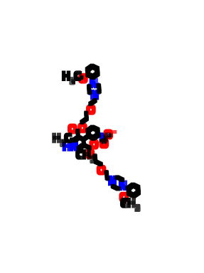 COc1ccccc1N1CCN(CCOCCCOC(=O)C2=C(C)NC(C)=C(C(=O)OCCCOCCN3CCN(c4ccccc4OC)CC3)C2c2cccc([N+](=O)[O-])c2)CC1